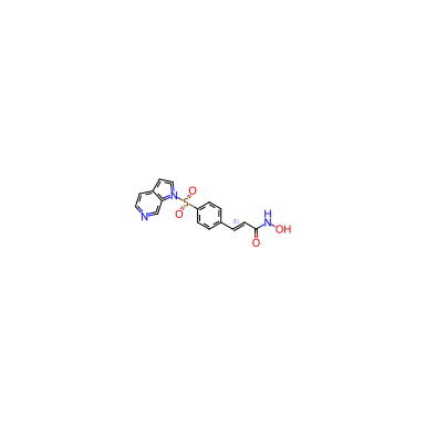 O=C(/C=C/c1ccc(S(=O)(=O)n2ccc3ccncc32)cc1)NO